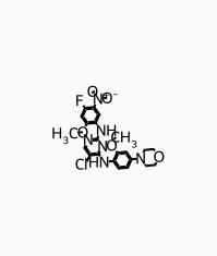 COc1cc(F)c([N+](=O)[O-])cc1Nc1ncc(Cl)c(Nc2ccc(N3CCOCC3)cc2OC)n1